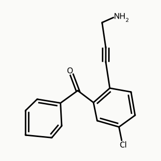 NCC#Cc1ccc(Cl)cc1C(=O)c1ccccc1